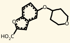 O=C(O)c1cc2cc(OC3CCOCC3)ccc2o1